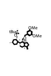 C=C1CC[C@H]2[C@H](COCc3cc(OC)cc(OC)c3)[C@@H]([C@@]3(C)CC[C@H](C)C[C@@H]3CO[Si](C)(C)C(C)(C)C)CC[C@]12C